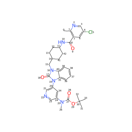 Cc1ncc(Cl)cc1C(=O)NC1CCC(Cn2c(=O)n(-c3cncc(N(C)C(=O)OC(C)(C)C)c3)c3ccccc32)CC1